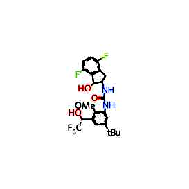 COc1c(NC(=O)NC2Cc3c(F)ccc(F)c3C2O)cc(C(C)(C)C)cc1[C@@H](O)C(F)(F)F